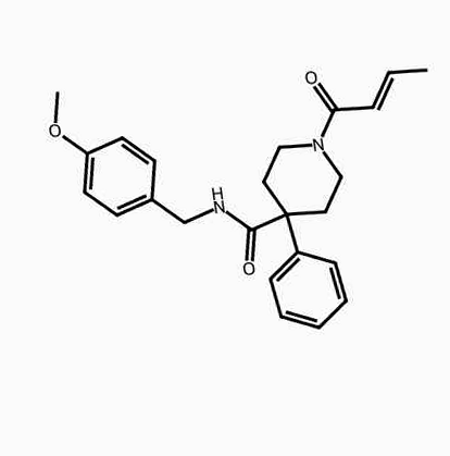 CC=CC(=O)N1CCC(C(=O)NCc2ccc(OC)cc2)(c2ccccc2)CC1